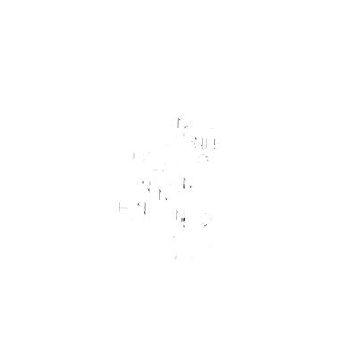 Nc1nc(Cl)c2c(n1)N(Cc1nc3ccccc3o1)C(=O)C2=Cc1ncc[nH]1